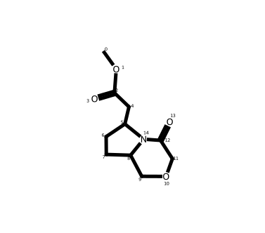 COC(=O)CC1CCC2COCC(=O)N21